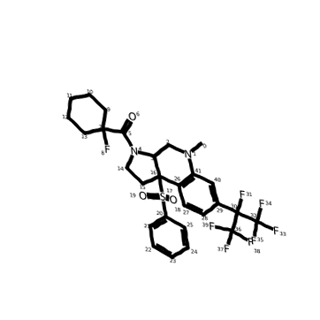 CN1CC2N(C(=O)C3(F)CCCCC3)CCC2(S(=O)(=O)c2ccccc2)c2ccc(C(F)(C(F)(F)F)C(F)(F)F)cc21